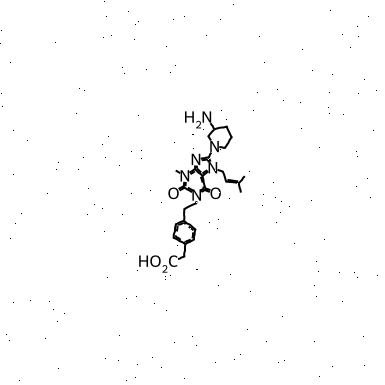 CC(C)=CCn1c(N2CCCC(N)C2)nc2c1c(=O)n(CCc1ccc(CC(=O)O)cc1)c(=O)n2C